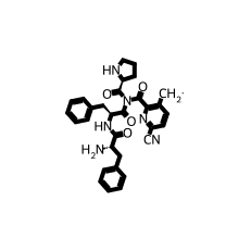 [CH2]c1ccc(C#N)nc1C(=O)N(C(=O)[C@@H]1CCCN1)C(=O)[C@H](Cc1ccccc1)NC(=O)[C@@H](N)Cc1ccccc1